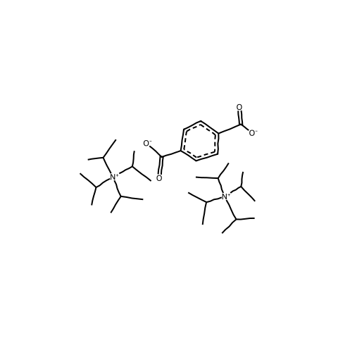 CC(C)[N+](C(C)C)(C(C)C)C(C)C.CC(C)[N+](C(C)C)(C(C)C)C(C)C.O=C([O-])c1ccc(C(=O)[O-])cc1